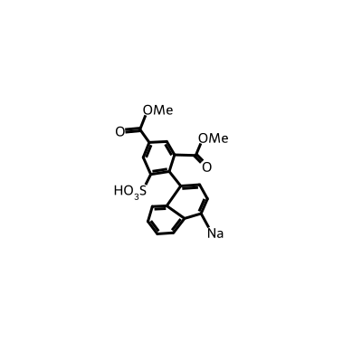 COC(=O)c1cc(C(=O)OC)c(-c2cc[c]([Na])c3ccccc23)c(S(=O)(=O)O)c1